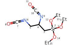 CCO[Si](CC(CN=C=O)N=C=O)(OCC)OCC